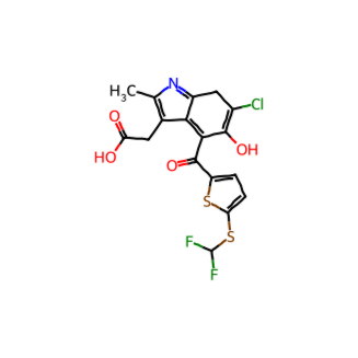 CC1=C(CC(=O)O)C2=C(C(=O)c3ccc(SC(F)F)s3)C(O)=C(Cl)CC2=N1